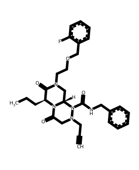 C#CCN1CC(=O)N2[C@@H](CCC)C(=O)N(CCOCc3ccccc3F)C[C@@H]2N1C(=O)NCc1ccccc1